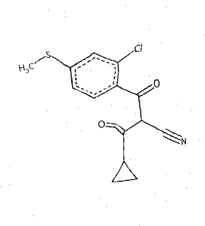 CSc1ccc(C(=O)C(C#N)C(=O)C2CC2)c(Cl)c1